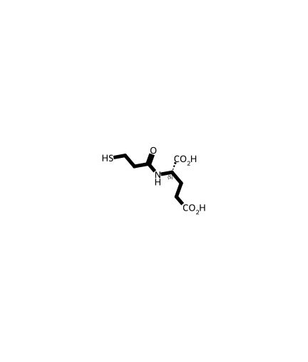 O=C(O)CC[C@H](NC(=O)CCS)C(=O)O